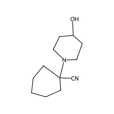 N#CC1(N2CCC(O)CC2)CCCCC1